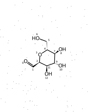 O=C[C@H]1O[C@H](CO)[C@@H](O)[C@H](O)[C@H]1O